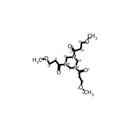 COCCC(=O)N1CN(C(=O)CCOC)CN(C(=O)CCOC)C1